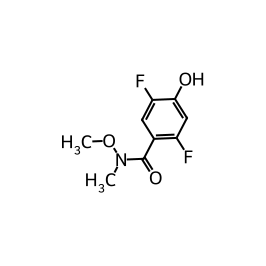 CON(C)C(=O)c1cc(F)c(O)cc1F